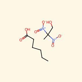 CC(CO)([N+](=O)[O-])[N+](=O)[O-].CCCCCC(=O)O